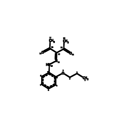 CCCOc1ccccc1NN=C(C(C)=O)C(C)=O